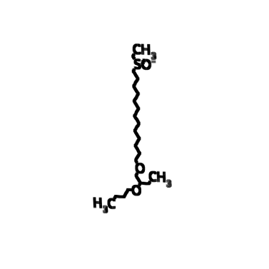 CCCCOC(CC)COCCCCCCCCCCCCC[S+]([O-])CC